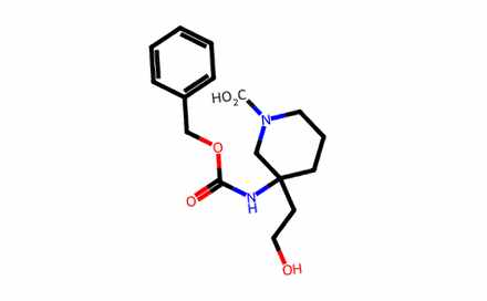 O=C(NC1(CCO)CCCN(C(=O)O)C1)OCc1ccccc1